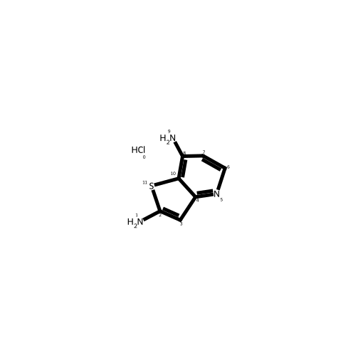 Cl.Nc1cc2nccc(N)c2s1